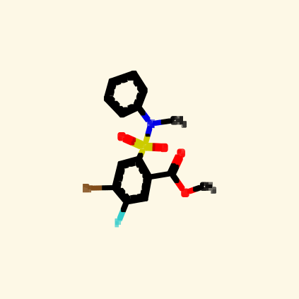 COC(=O)c1cc(F)c(Br)cc1S(=O)(=O)N(C)c1ccccc1